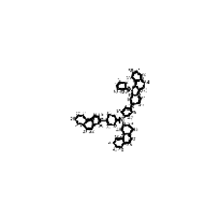 c1ccc(-n2c3cc(-c4ccc(N(c5ccc(-c6ccc7c(ccc8ccccc87)c6)cc5)c5ccc6ccc7ccccc7c6c5)cc4)ccc3c3ccc4ccccc4c32)cc1